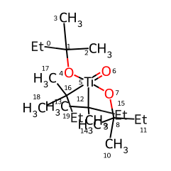 CCC(C)(C)[O][Ti](=[O])([O]C(C)(C)CC)([C](C)(C)CC)[C](C)(C)CC